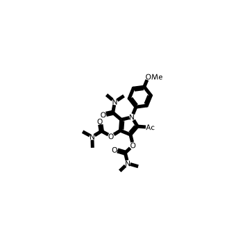 COc1ccc(-n2c(C(C)=O)c(OC(=O)N(C)C)c(OC(=O)N(C)C)c2C(=O)N(C)C)cc1